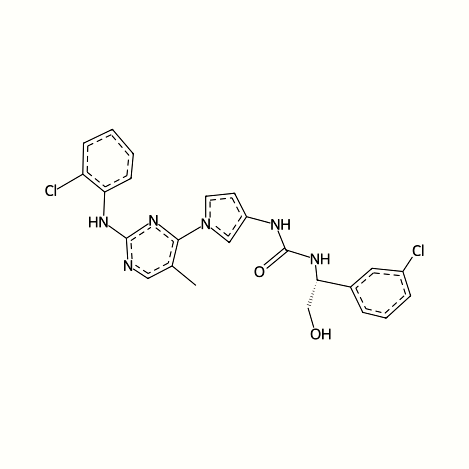 Cc1cnc(Nc2ccccc2Cl)nc1-n1ccc(NC(=O)N[C@@H](CO)c2cccc(Cl)c2)c1